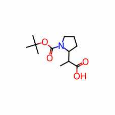 CC(C(=O)O)C1CCCN1C(=O)OC(C)(C)C